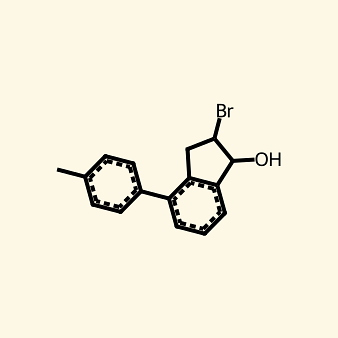 Cc1ccc(-c2cccc3c2CC(Br)C3O)cc1